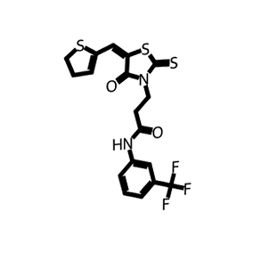 O=C(CCN1C(=O)/C(=C\C2=CCCS2)SC1=S)Nc1cccc(C(F)(F)F)c1